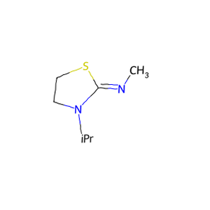 C/N=C1\SCCN1C(C)C